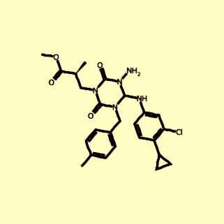 COC(=O)[C@@H](C)CN1C(=O)N(N)C(Nc2ccc(C3CC3)c(Cl)c2)N(Cc2ccc(C)cc2)C1=O